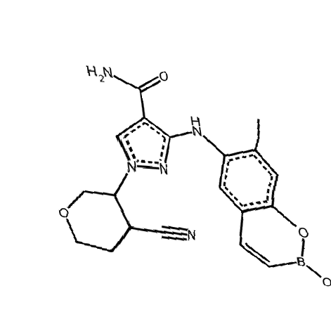 Cc1cc2c(cc1Nc1nn(C3COCCC3C#N)cc1C(N)=O)C=CB(O)O2